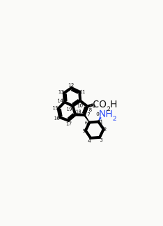 N[C@H]1CCCC[C@H]1C1=C(C(=O)O)c2cccc3cccc1c23